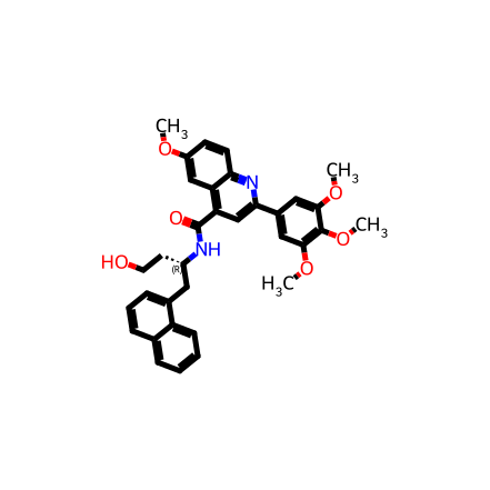 COc1ccc2nc(-c3cc(OC)c(OC)c(OC)c3)cc(C(=O)N[C@@H](CCO)Cc3cccc4ccccc34)c2c1